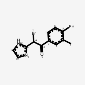 Cc1cc(C(=O)C(Br)c2ncc[nH]2)ccc1F